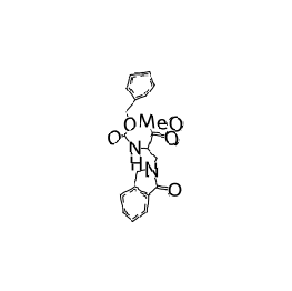 COC(=O)C(CN1Cc2ccccc2C1=O)NC(=O)OCc1ccccc1